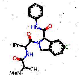 CNC(C)C(=O)NC(C(=O)N1Cc2ccccc2C1C(=O)Nc1ccccc1)C(C)C.Cl